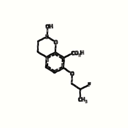 CC(F)COc1ccc2c(c1C(=O)O)OB(O)CC2